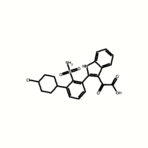 NS(=O)(=O)c1c(-c2[nH]c3ccccc3c2C(=O)C(=O)O)cccc1C1CCC(Cl)CC1